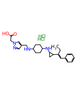 CC/C(=C\c1ccccc1)C1CC1NC1CCC(NCc2cnn(CC(=O)O)c2)CC1.Cl.Cl